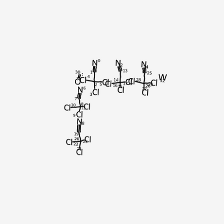 N#CC(Cl)(Cl)Cl.N#CC(Cl)(Cl)Cl.N#CC(Cl)(Cl)Cl.N#CC(Cl)(Cl)Cl.N#CC(Cl)(Cl)Cl.[C]=O.[W]